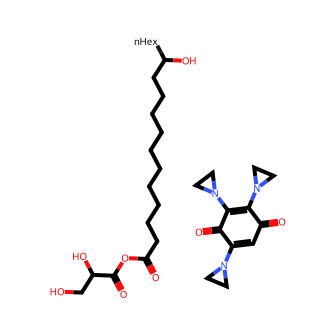 CCCCCCC(O)CCCCCCCCCCC(=O)OC(=O)C(O)CO.O=C1C=C(N2CC2)C(=O)C(N2CC2)=C1N1CC1